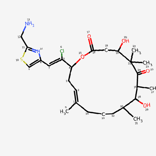 C/C1=C\CC(/C(Cl)=C/c2csc(CN)n2)OC(=O)CC(O)C(C)(C)C(=O)C(C)C(O)C(C)CCC1